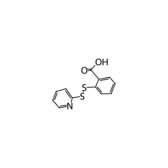 O=C(O)c1ccccc1SSc1ccccn1